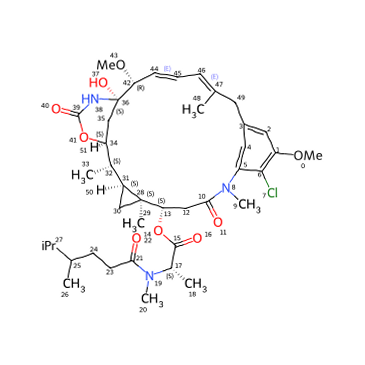 COc1cc2cc(c1Cl)N(C)C(=O)C[C@H](OC(=O)[C@H](C)N(C)C(=O)CCC(C)C(C)C)[C@@]1(C)C[C@H]1[C@H](C)[C@@H]1C[C@@](O)(NC(=O)O1)[C@H](OC)/C=C/C=C(\C)C2